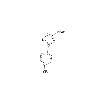 CNc1cnn(-c2ccc(C(F)(F)F)cc2)c1